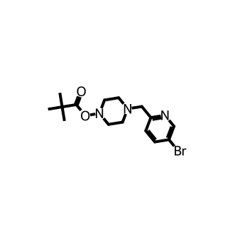 CC(C)(C)C(=O)ON1CCN(Cc2ccc(Br)cn2)CC1